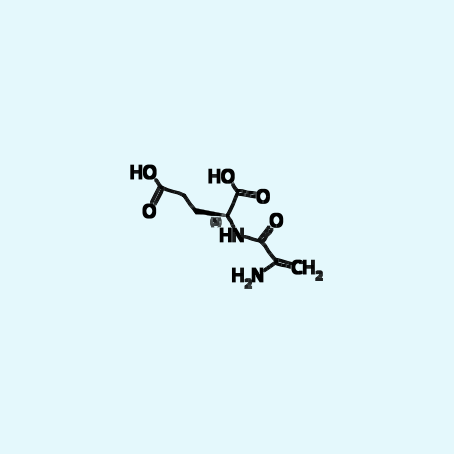 C=C(N)C(=O)N[C@@H](CCC(=O)O)C(=O)O